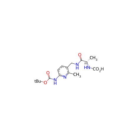 Cc1nc(NC(=O)OC(C)(C)C)ccc1CNC(=O)[C@H](C)NC(=O)O